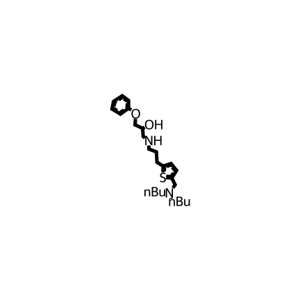 CCCCN(CCCC)Cc1ccc(CCCNCC(O)COc2ccccc2)s1